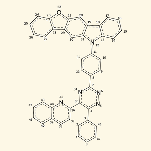 c1ccc(-c2nnc(-c3ccc(-n4c5ccccc5c5cc6oc7ccccc7c6cc54)cc3)nc2-c2ccc3ccccc3n2)cc1